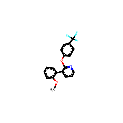 COc1ccccc1-c1cccnc1Oc1ccc(C(F)(F)F)cc1